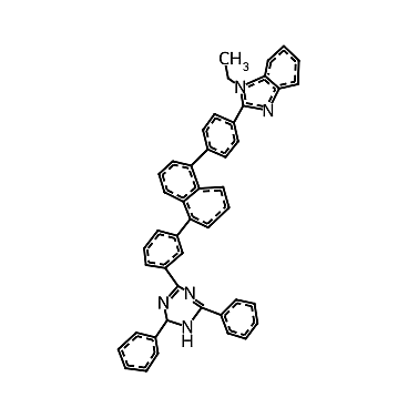 CCn1c(-c2ccc(-c3cccc4c(-c5cccc(C6=NC(c7ccccc7)NC(c7ccccc7)=N6)c5)cccc34)cc2)nc2ccccc21